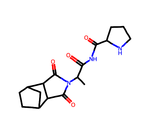 CC(C(=O)NC(=O)C1CCCN1)N1C(=O)C2C3CCC(C3)C2C1=O